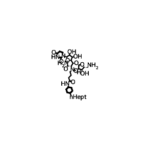 CCCCCCCc1ccc(NC(=O)CCCN2O[C@H]3C(O[C@H]([C@H]4O[C@@H](n5ccc(=O)[nH]c5=O)C(O)C4O)[C@H]2C(N)=O)O[C@H](CN)[C@H]3O)cc1